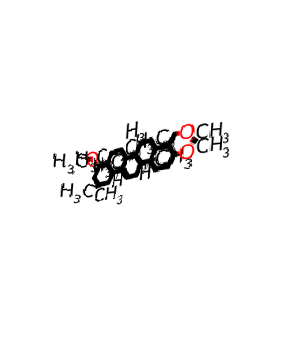 CO[C@@H]1CC(C)(C)C[C@@H]2C3=CC[C@@H]4[C@@]5(C)CCC6OC(C)(C)OC[C@@]6(C)C5CC[C@@]4(C)[C@]3(C)CC[C@]21C